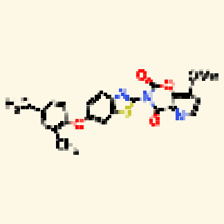 COc1ccnc2c(=O)n(-c3nc4ccc(Oc5ccc(C)cc5C)cc4s3)c(=O)oc12